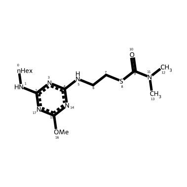 CCCCCCNc1nc(NCCSC(=O)N(C)C)nc(OC)n1